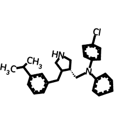 CC(C)c1cccc(CC2CNC[C@@H]2CN(c2ccccc2)c2ccc(Cl)cc2)c1